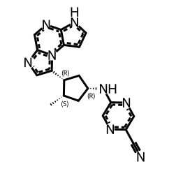 C[C@H]1C[C@@H](Nc2cnc(C#N)cn2)C[C@H]1c1cnc2cnc3[nH]ccc3n12